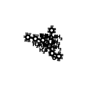 BC1=C(B)C(N(c2c(B)c(B)c(-c3ccc(-c4ccccc4)cc3)c(B)c2B)c2c(B)c(B)c(-c3ccc4oc5ccccc5c4c3)c(B)c2B)C(B)=C1c1ccccc1